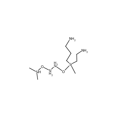 C[SiH](C)O[SiH2][SiH2]O[Si](C)(CCN)CCCN